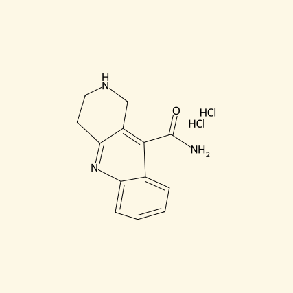 Cl.Cl.NC(=O)c1c2c(nc3ccccc13)CCNC2